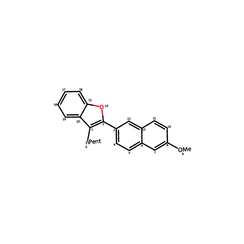 CCCCCc1c(-c2ccc3cc(OC)ccc3c2)oc2ccccc12